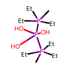 CCP(C)(CC)(CC)P(O)(O)(O)P(C)(CC)(CC)CC